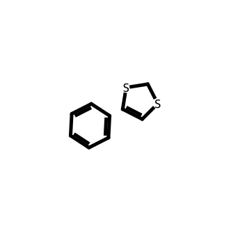 C1=CSCS1.c1ccccc1